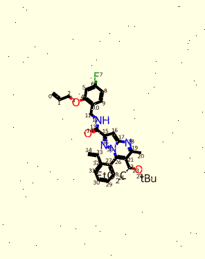 C=CCOc1cc(F)ccc1CNC(=O)c1cc2nc(C)c([C@H](OC(C)(C)C)C(=O)OCC)c(-c3ccccc3C=C)n2n1